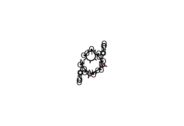 CC(C)CC1C(=O)OC(Cc2ccc(N3CCOCC3)cc2)C(=O)N(C)C2CC(C)CC(C)CC(C(=O)OC(Cc3ccc(N4CCOCC4)cc3)C(=O)N(C)C(CC(C)C)C(=O)OC(C)C(=O)N1C)N(C)C(=O)C(C)OC2=O